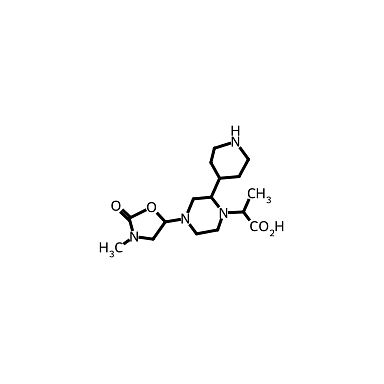 CC(C(=O)O)N1CCN(C2CN(C)C(=O)O2)CC1C1CCNCC1